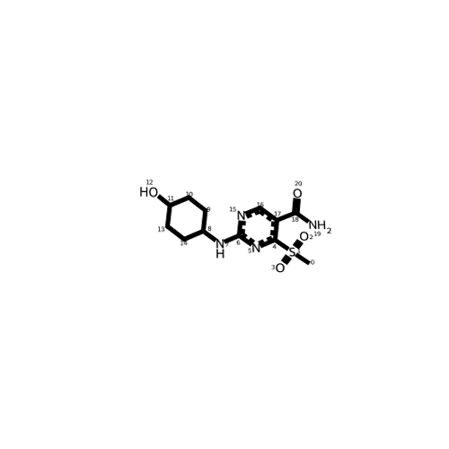 CS(=O)(=O)c1nc(NC2CCC(O)CC2)ncc1C(N)=O